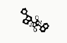 CN1C(=O)C2=C(c3ccc(-c4ccccc4)c4ccccc34)N(C)C(=O)C2=C1c1cccc2ccccc12